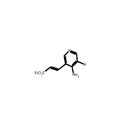 CCOC(=O)/C=C/c1cncc(Br)c1N